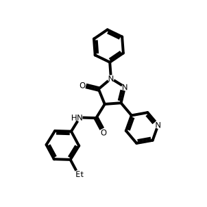 CCc1cccc(NC(=O)C2C(=O)N(c3ccccc3)N=C2c2cccnc2)c1